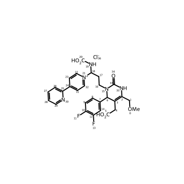 COCC1=C(CC(=O)O)C(c2ccc(F)c(F)c2)N(CCC(NC(=O)O)[n+]2ccc(-c3ccccn3)cc2)C(=O)N1.[Cl-]